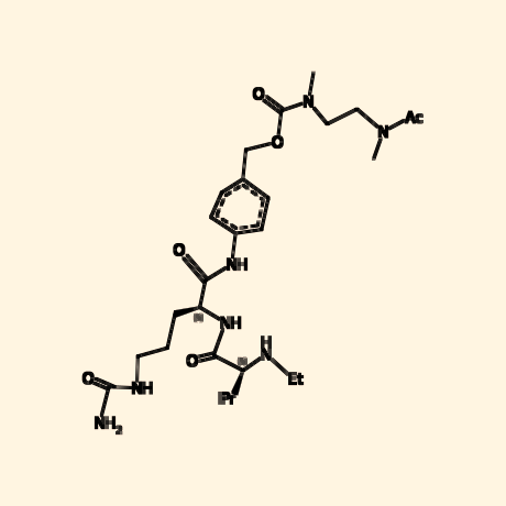 CCN[C@H](C(=O)N[C@@H](CCCNC(N)=O)C(=O)Nc1ccc(COC(=O)N(C)CCN(C)C(C)=O)cc1)C(C)C